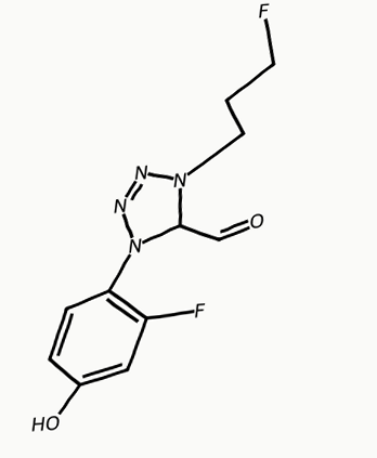 O=CC1N(CCCF)N=NN1c1ccc(O)cc1F